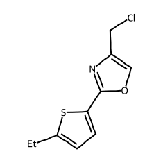 CCc1ccc(-c2nc(CCl)co2)s1